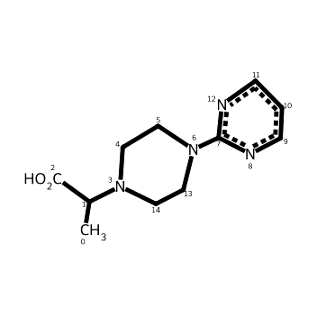 CC(C(=O)O)N1CCN(c2ncccn2)CC1